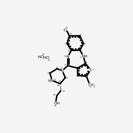 Cc1cc2c(s1)Nc1ccc(Cl)cc1N=C2N1CCN[C@@H](CCO)C1.Cl.Cl